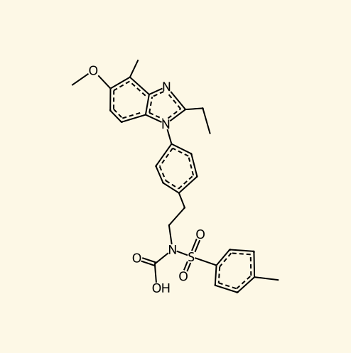 CCc1nc2c(C)c(OC)ccc2n1-c1ccc(CCN(C(=O)O)S(=O)(=O)c2ccc(C)cc2)cc1